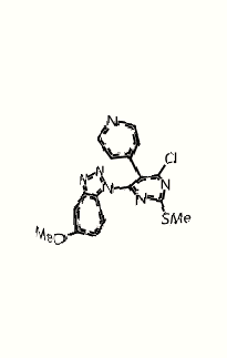 COc1ccc2c(c1)nnn2-c1nc(SC)nc(Cl)c1-c1ccncc1